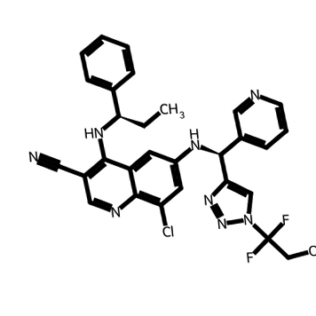 CC[C@@H](Nc1c(C#N)cnc2c(Cl)cc(N[C@@H](c3cccnc3)c3cn(C(F)(F)CO)nn3)cc12)c1ccccc1